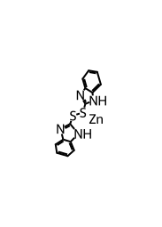 [Zn].c1ccc2[nH]c(SSc3nc4ccccc4[nH]3)nc2c1